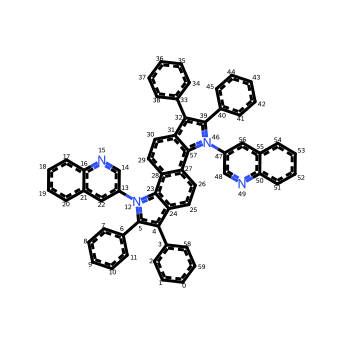 c1ccc(-c2c(-c3ccccc3)n(-c3cnc4ccccc4c3)c3c2ccc2c3ccc3c(-c4ccccc4)c(-c4ccccc4)n(-c4cnc5ccccc5c4)c32)cc1